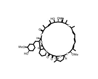 COC1CC(CC2[C@H]3CCCN4C(=O)C(=O)C5(O)O[C@@H](CCC5C)C[C@H](OC)/C(C)=C/C=C/C=C/C(C)CC(C)C(=O)[C@H](OC)C(O)/C(C)=C/C(C)C(=O)C[C@@H]2OC(=O)C34)CC[C@H]1O